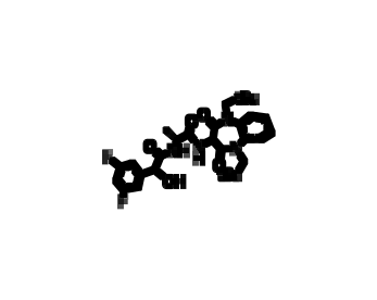 C[C@H](NC(=O)C(O)c1cc(F)cc(F)c1)C(=O)NC1C(=O)N(CC(C)(C)C)c2ccccc2N(CC(C)(C)C)C1=O